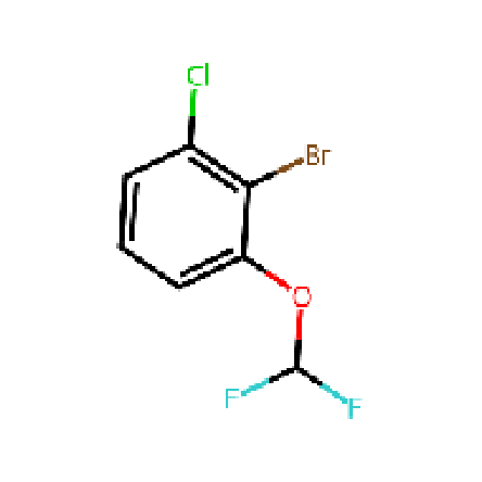 FC(F)Oc1cccc(Cl)c1Br